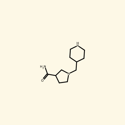 NC(=O)C1CCN(CC2CCNCC2)C1